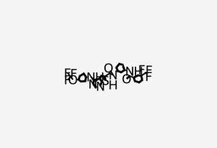 O=C(Nc1cccc(NC(=O)c2cc3c(Nc4ccc(OC(F)(F)F)cc4)ncnc3s2)c1)c1cccc(C(F)(F)F)c1